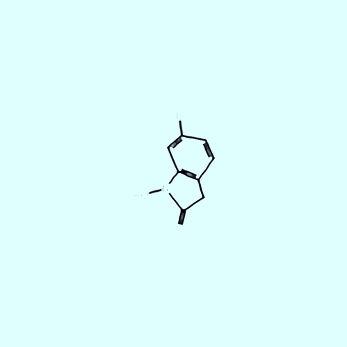 O=C1Cc2ccc(Br)cc2N1O